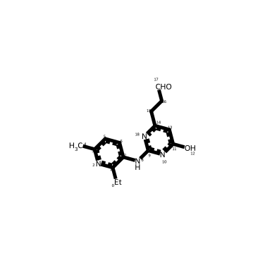 CCc1nc(C)ccc1Nc1nc(O)cc(CCC=O)n1